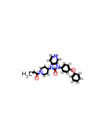 C=CC(=O)N1CCC(n2c(=O)n(-c3ccc(Oc4ccccc4)cc3)c3cnccc32)CC1